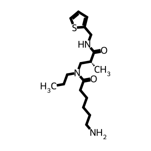 CCCN(C[C@@H](C)C(=O)NCc1cccs1)C(=O)CCCCCN